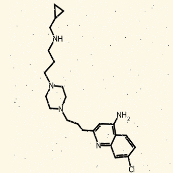 Nc1cc(CCCN2CCN(CCCNCC3CC3)CC2)nc2cc(Cl)ccc12